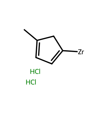 CC1=CC=[C]([Zr])C1.Cl.Cl